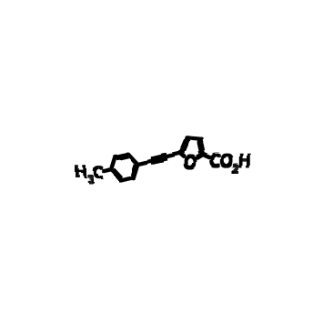 Cc1ccc(C#Cc2ccc(C(=O)O)o2)cc1